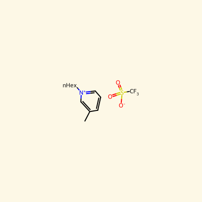 CCCCCC[n+]1cccc(C)c1.O=S(=O)([O-])C(F)(F)F